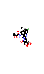 CC[C@@]1(O)C(=O)OCc2c1cc1n(c2=O)Cc2c-1nc1cc(F)c(C)c3c1c2[C@@H](NC(=O)C(O)C1CC1)CC3